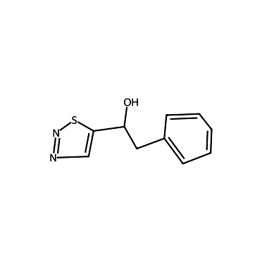 OC(Cc1ccccc1)c1cnns1